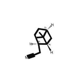 CC1(C)[C@H]2CC[C@H](CC#N)[C@H]1C2